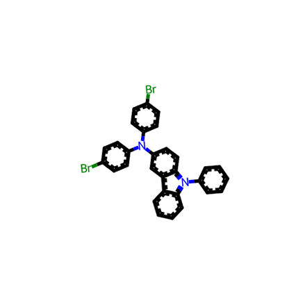 Brc1ccc(N(c2ccc(Br)cc2)c2ccc3c(c2)c2ccccc2n3-c2ccccc2)cc1